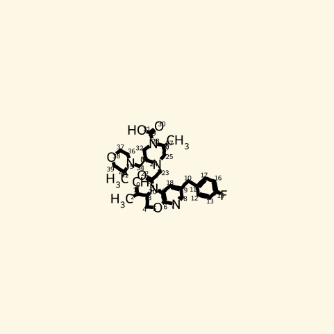 CC(C)C1COc2ncc(Cc3ccc(F)cc3)cc2N1C(=O)CN1C[C@@H](C)N(C(=O)O)C[C@@H]1CN1CCOCC1C